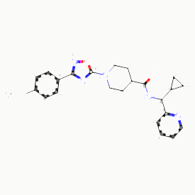 COc1ccc(-c2noc(N3CCC(C(=O)NC(c4ccccn4)C4CC4)CC3)n2)cc1